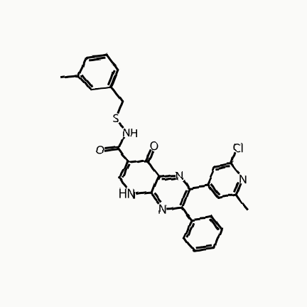 Cc1cccc(CSNC(=O)c2c[nH]c3nc(-c4ccccc4)c(-c4cc(C)nc(Cl)c4)nc3c2=O)c1